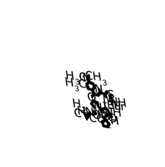 C=C[C@@H]1C[C@]1(NC(=O)[C@@H]1C[C@@H](Oc2cc(-c3csc(NC(C)C)n3)nc3cc(N(C)C)c(C)cc23)CN1C(=O)[C@@H](NC(=O)OC1CCCC1)C(C)(C)C)C(=O)O